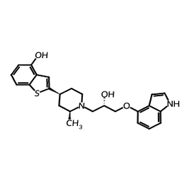 C[C@H]1C[C@@H](c2cc3c(O)cccc3s2)CCN1C[C@H](O)COc1cccc2[nH]ccc12